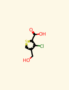 O=C(O)c1scc(CO)c1Cl